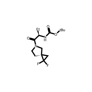 CC[C@@H](NC(=O)OC(C)(C)C)C(=O)N1CC[C@]2(C1)CC2(F)F